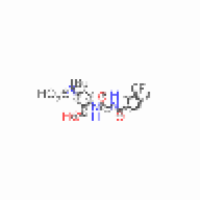 CC(C)(C)N(C(=O)O)[C@@H]1CC[C@H](NC(=O)CNC(=O)c2cccc(C(F)(F)F)c2)[C@H](CO)C1